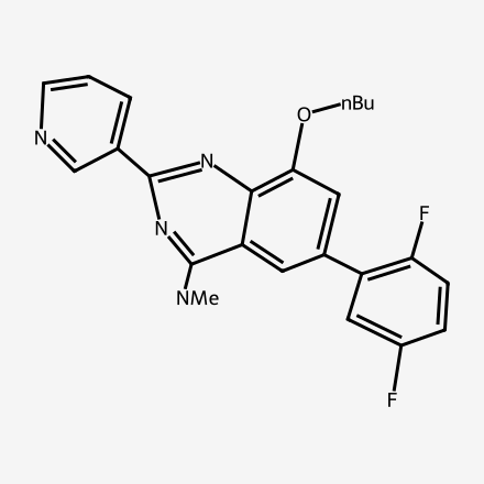 CCCCOc1cc(-c2cc(F)ccc2F)cc2c(NC)nc(-c3cccnc3)nc12